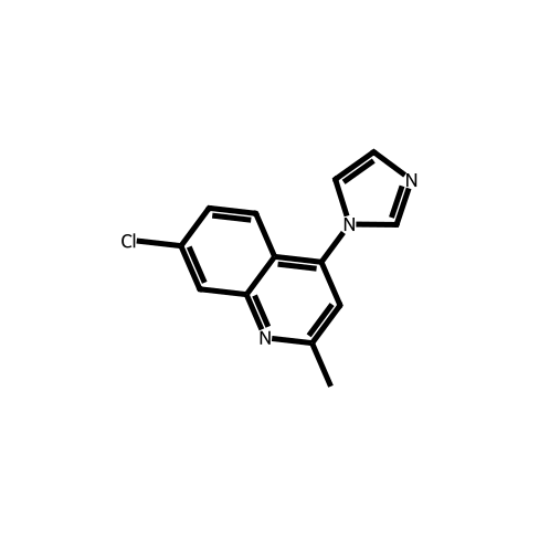 Cc1cc(-n2ccnc2)c2ccc(Cl)cc2n1